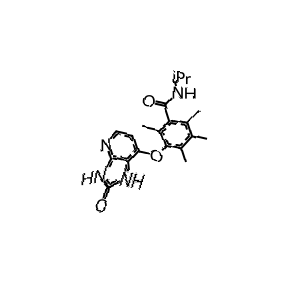 Cc1c(C)c(Oc2ccnc3[nH]c(=O)[nH]c23)c(C)c(C(=O)NC(C)C)c1C